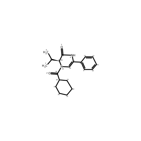 CC(C)[C@H]1C(=O)NC(c2ccccc2)=CN1C(=O)C1CCCCC1